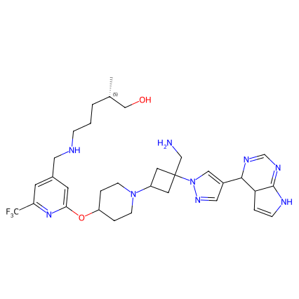 C[C@H](CO)CCCNCc1cc(OC2CCN(C3CC(CN)(n4cc(C5N=CN=C6NC=CC65)cn4)C3)CC2)nc(C(F)(F)F)c1